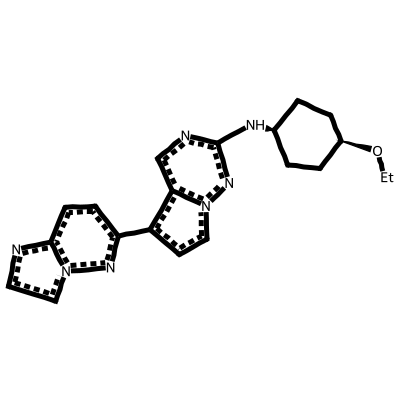 CCO[C@H]1CC[C@@H](Nc2ncc3c(-c4ccc5nccn5n4)ccn3n2)CC1